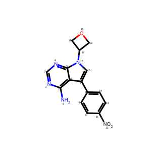 Nc1ncnc2c1c(-c1ccc([N+](=O)[O-])cc1)cn2C1COC1